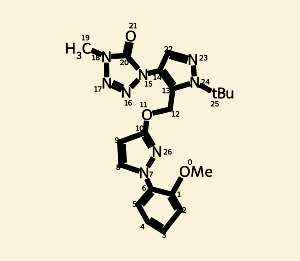 COc1ccccc1-n1ccc(OCc2c(-n3nnn(C)c3=O)cnn2C(C)(C)C)n1